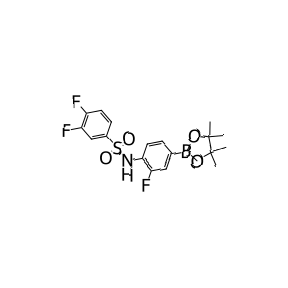 CC1(C)OB(c2ccc(NS(=O)(=O)c3ccc(F)c(F)c3)c(F)c2)OC1(C)C